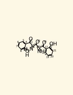 NN(C(=O)c1ccccc1O)C(=O)N(N)C(=O)c1ccccc1O